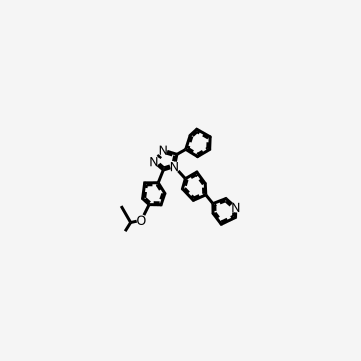 CC(C)Oc1ccc(-c2nnc(-c3ccccc3)n2-c2ccc(-c3cccnc3)cc2)cc1